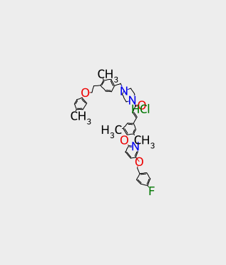 Cc1ccc(OCCc2ccc(CN3CCN(C(=O)C=Cc4cc(C)c(Oc5ccc(OCc6ccc(F)cc6)cn5)c(C)c4)CC3)cc2C)cc1.Cl